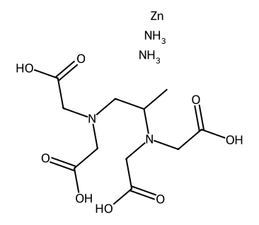 CC(CN(CC(=O)O)CC(=O)O)N(CC(=O)O)CC(=O)O.N.N.[Zn]